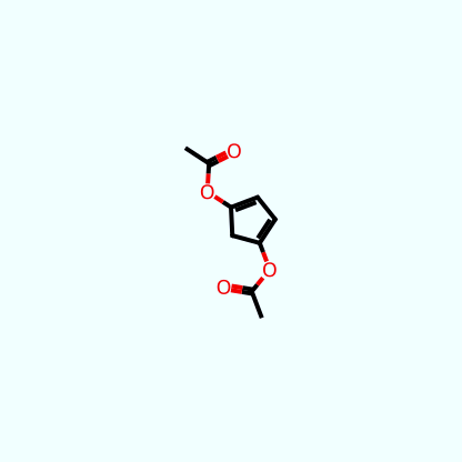 CC(=O)OC1=CC=C(OC(C)=O)C1